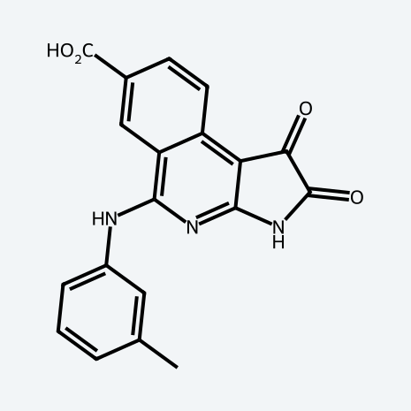 Cc1cccc(Nc2nc3c(c4ccc(C(=O)O)cc24)C(=O)C(=O)N3)c1